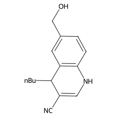 CCCCC1C(C#N)=CNc2ccc(CO)cc21